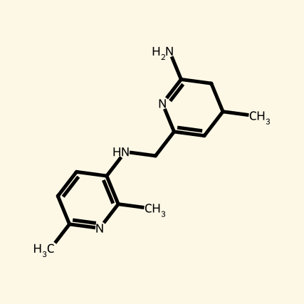 Cc1ccc(NCC2=CC(C)CC(N)=N2)c(C)n1